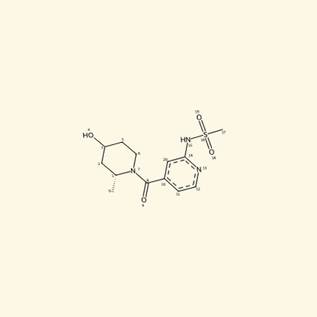 C[C@@H]1CC(O)CCN1C(=O)c1ccnc(NS(C)(=O)=O)c1